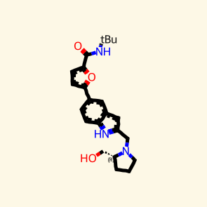 CC(C)(C)NC(=O)c1ccc(-c2ccc3[nH]c(CN4CCC[C@@H]4CO)cc3c2)o1